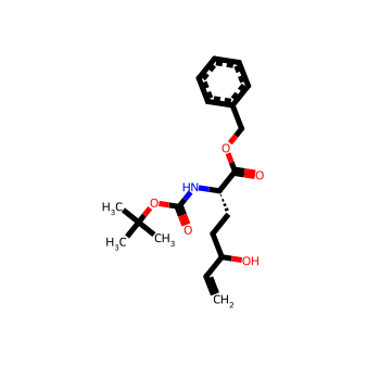 C=CC(O)CC[C@H](NC(=O)OC(C)(C)C)C(=O)OCc1ccccc1